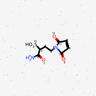 NC(=O)C(CCN1C(=O)C=CC1=O)S(=O)(=O)O